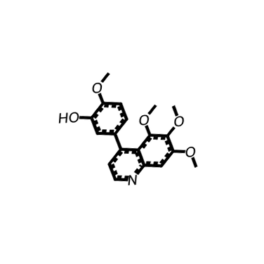 COc1ccc(-c2ccnc3cc(OC)c(OC)c(OC)c23)cc1O